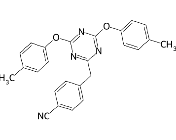 Cc1ccc(Oc2nc(Cc3ccc(C#N)cc3)nc(Oc3ccc(C)cc3)n2)cc1